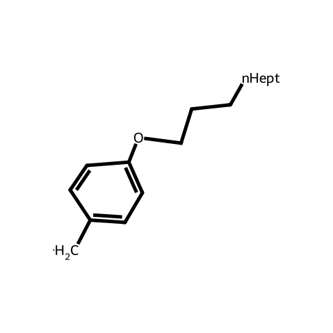 [CH2]c1ccc(OCCCCCCCCCC)cc1